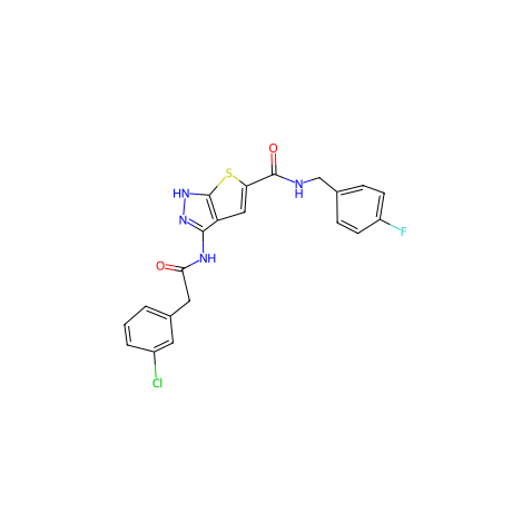 O=C(Cc1cccc(Cl)c1)Nc1n[nH]c2sc(C(=O)NCc3ccc(F)cc3)cc12